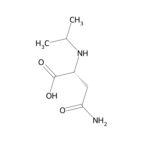 CC(C)N[C@H](CC(N)=O)C(=O)O